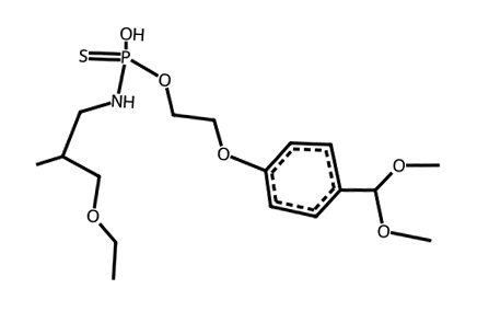 CCOCC(C)CNP(O)(=S)OCCOc1ccc(C(OC)OC)cc1